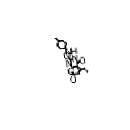 CCc1cc(=O)oc2nc(ON=C3CCC(C)CC3)[nH]c(=O)c12